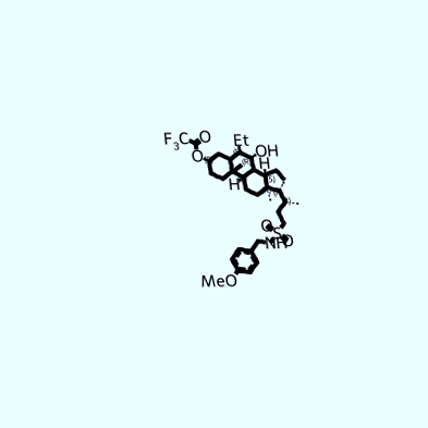 CC[C@@H]1C2C[C@H](OC(=O)C(F)(F)F)CCC2(C)[C@H]2CC[C@]3(C)[C@@H]([C@H](C)CCS(=O)(=O)NCc4ccc(OC)cc4)CC[C@H]3C2[C@@H]1O